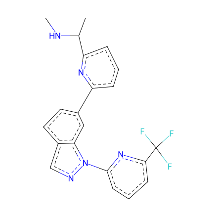 CNC(C)c1cccc(-c2ccc3cnn(-c4cccc(C(F)(F)F)n4)c3c2)n1